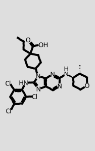 CCCC1(C(=O)O)CCC(n2c(Nc3c(Cl)cc(Cl)cc3Cl)nc3cnc(N[C@@H]4CCOC[C@H]4C)nc32)CC1